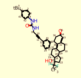 CC(C)(C)c1ccc(NC(=O)NCC#Cc2ccc([C@H]3C[C@@]4(C)C(CC[C@@]4(O)C(F)(F)C(F)(F)F)C4CCC5=CC(=O)CCC5=C43)cc2)cc1